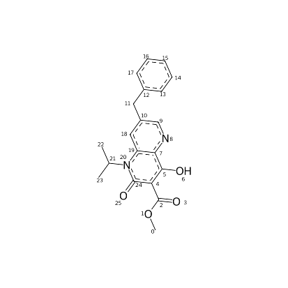 COC(=O)c1c(O)c2ncc(Cc3ccccc3)cc2n(C(C)C)c1=O